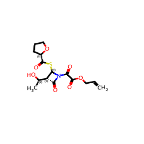 C=CCOC(=O)C(=O)N1C(=O)[C@H]([C@@H](C)O)[C@H]1SC(=O)[C@H]1CCCO1